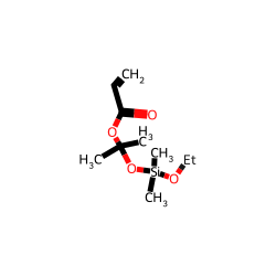 C=CC(=O)OC(C)(C)O[Si](C)(C)OCC